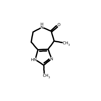 Cc1nc2c([nH]1)CCNC(=O)C2C